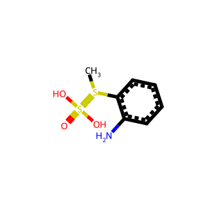 CS(c1ccccc1N)=S(=O)(O)O